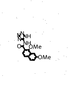 COc1ccc2ccc(C(=O)Nc3nnn[nH]3)c(OC)c2c1